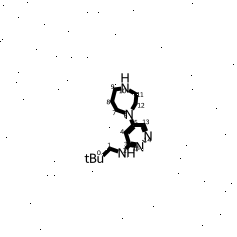 CC(C)(C)CNc1cc(N2CCCNCC2)cnn1